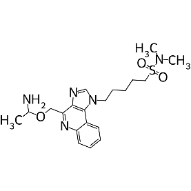 CC(N)OCc1nc2ccccc2c2c1ncn2CCCCCS(=O)(=O)N(C)C